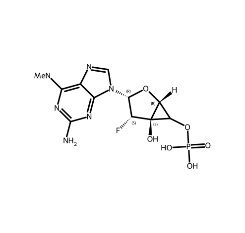 CNc1nc(N)nc2c1ncn2[C@@H]1O[C@@H]2C(OP(=O)(O)O)[C@]2(O)[C@@H]1F